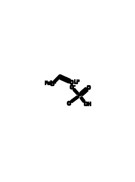 O=C[O-].O=P([O-])([O-])O.[Fe+2].[Li+]